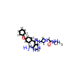 CNC(=O)CN1CC(n2nc(-c3ccc(Oc4ccccc4)cc3)c3c(N)ncnc32)C1